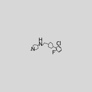 CN1CCC(NCCC2CCC(c3c(F)cccc3Cl)CC2)CC1